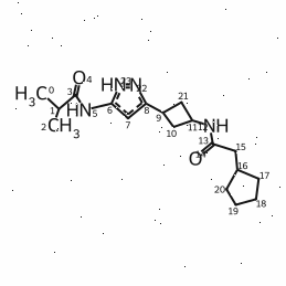 CC(C)C(=O)Nc1cc(C2CC(NC(=O)CC3CCCC3)C2)n[nH]1